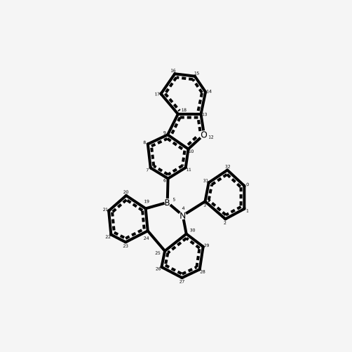 c1ccc(N2B(c3ccc4c(c3)oc3ccccc34)c3ccccc3-c3ccccc32)cc1